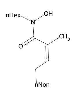 CCCCCCCCCCC=C(C)C(=O)N(O)CCCCCC